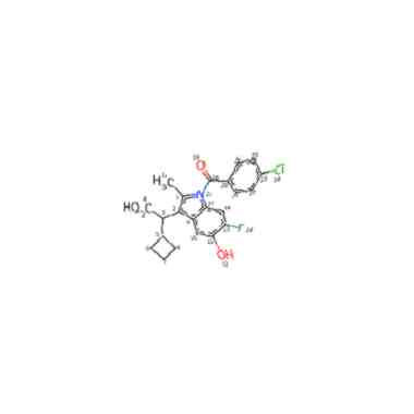 Cc1c(C(C(=O)O)C2CCC2)c2cc(O)c(F)cc2n1C(=O)c1ccc(Cl)cc1